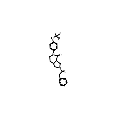 O=C(Cc1ccccc1)N1CC2CCN(c3ccc(OC(F)(F)F)cc3)C(=O)C2C1